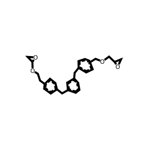 c1cc(Cc2ccc(CCOC3CO3)cc2)cc(Cc2ccc(COCC3CO3)cc2)c1